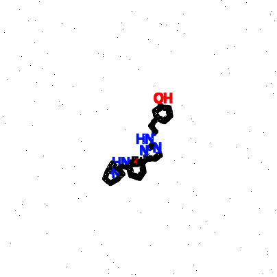 CCNC1CC2CCC(C1)N2Cc1cccc(-c2ccnc(NCCc3cccc(O)c3)n2)c1